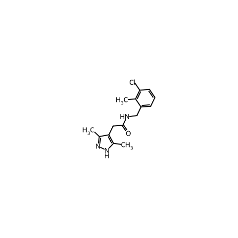 Cc1n[nH]c(C)c1CC(=O)NCc1cccc(Cl)c1C